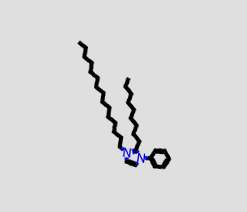 CCCCCCCCCCCCCCC[n+]1ccn(-c2ccccc2)c1CCCCCCCCC